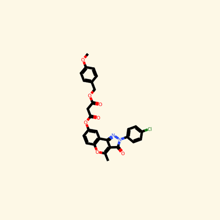 COc1ccc(COC(=O)CC(=O)Oc2ccc3oc(C)c4c(=O)n(-c5ccc(Cl)cc5)nc-4c3c2)cc1